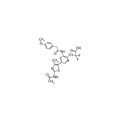 COc1ccc(CC(=O)Nc2cc(-c3sc(NC(C)=O)nc3C)cnc2Cl)cc1.O=C(O)C(F)(F)F